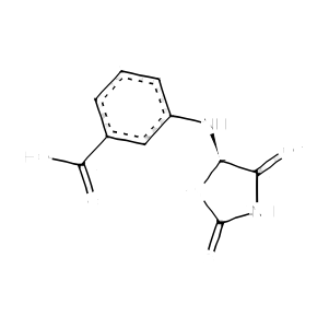 O=C1NC(=O)[C@H](Nc2cccc(C(=O)O)c2)S1